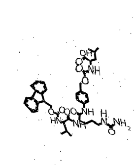 CC(C)CC(NC(=O)OCc1ccc(NC(=O)C(CCCNC(N)=O)NC(=O)C(NC(=O)OCC2c3ccccc3-c3ccccc32)C(C)C)cc1)C(=O)O